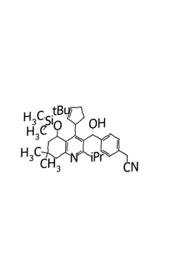 CC(C)c1nc2c(c(C3C=CCC3)c1[C@H](O)c1ccc(CC#N)cc1)C(O[Si](C)(C)C(C)(C)C)CC(C)(C)C2